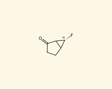 O=C1CCC2C1[C@@H]2F